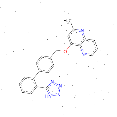 Cc1cc(OCc2ccc(-c3ccccc3-c3nnn[nH]3)cc2)c2ncccc2n1